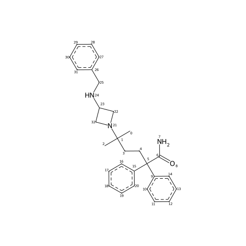 CC(C)(CCC(C(N)=O)(c1ccccc1)c1ccccc1)N1CC(NCc2ccccc2)C1